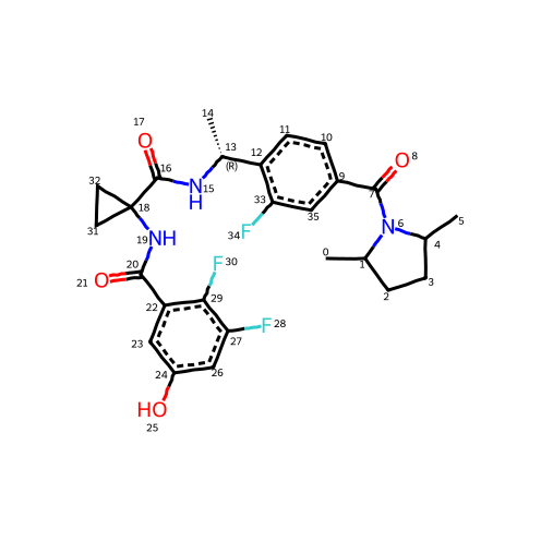 CC1CCC(C)N1C(=O)c1ccc([C@@H](C)NC(=O)C2(NC(=O)c3cc(O)cc(F)c3F)CC2)c(F)c1